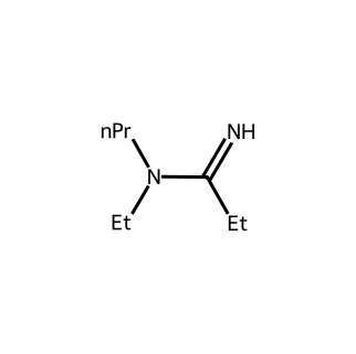 CCCN(CC)C(=N)CC